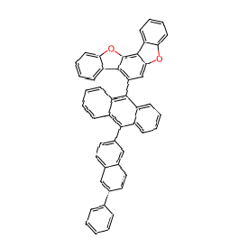 c1ccc(-c2ccc3cc(-c4c5ccccc5c(-c5cc6oc7ccccc7c6c6oc7ccccc7c56)c5ccccc45)ccc3c2)cc1